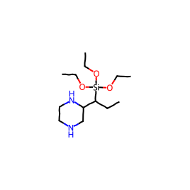 CCO[Si](OCC)(OCC)C(CC)C1CNCCN1